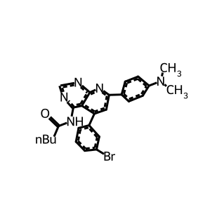 CCCCC(=O)Nc1ncnc2nc(-c3ccc(N(C)C)cc3)cc(-c3cccc(Br)c3)c12